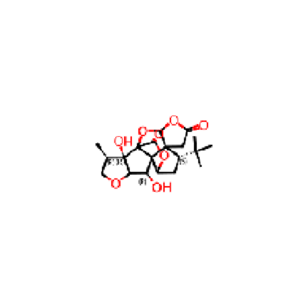 C[C@@H]1COC2[C@H](O)C34C5C[C@@H](C(C)(C)C)C36CC(=O)OC6OC4(C(=O)O5)[C@]21O